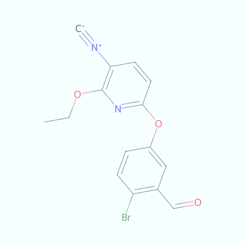 [C-]#[N+]c1ccc(Oc2ccc(Br)c(C=O)c2)nc1OCC